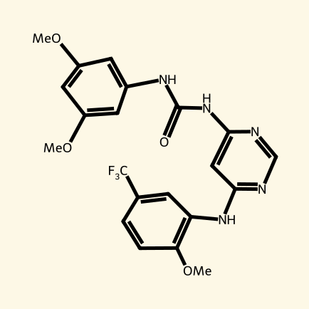 COc1cc(NC(=O)Nc2cc(Nc3cc(C(F)(F)F)ccc3OC)ncn2)cc(OC)c1